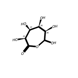 O=C1OC(O)[C@H](O)[C@H](O)[C@H](O)[C@@H]1O